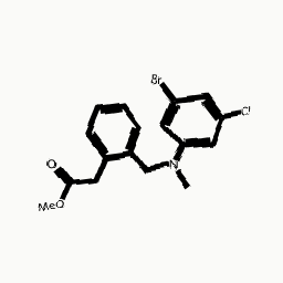 COC(=O)Cc1ccccc1CN(C)c1cc(Cl)cc(Br)c1